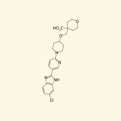 O=C(O)C1(COC2CCN(c3ccc(-c4nc5ccc(Cl)cc5[nH]4)cn3)CC2)CCOCC1